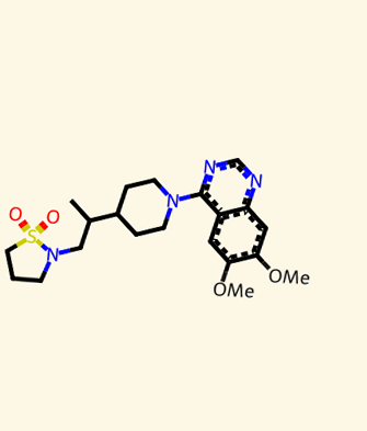 COc1cc2ncnc(N3CCC(C(C)CN4CCCS4(=O)=O)CC3)c2cc1OC